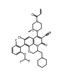 C=CC(=O)N1CCN(c2c(C#N)c(=O)n3c4c(c(-c5c(F)cccc5OC(F)F)c(Cl)cc24)OCC3CN2CCCCC2)[C@@H](C)C1